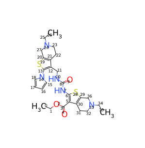 CCOC(=O)c1c(NC(=O)NCc2c(-n3cccc3)sc3c2CCN(CC)C3)sc2c1CCN(CC)C2